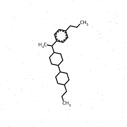 CCCc1ccc(C(C)C2CCC(C3CCC(CCC)CC3)CC2)cc1